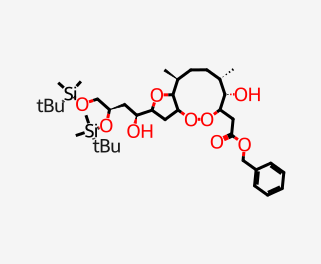 C[C@H]1CC[C@H](C)[C@H](O)C(CC(=O)OCc2ccccc2)OOC2CC([C@@H](O)C[C@H](CO[Si](C)(C)C(C)(C)C)O[Si](C)(C)C(C)(C)C)OC21